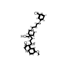 COc1ccc2ncc(Cl)c([C@@H](F)CCC3(CO)CCN(CCCSc4cccc(Cl)c4)CC3)c2c1